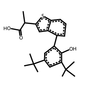 CC(C(=O)O)c1cc2c(-c3cc(C(C)(C)C)cc(C(C)(C)C)c3O)cccc2s1